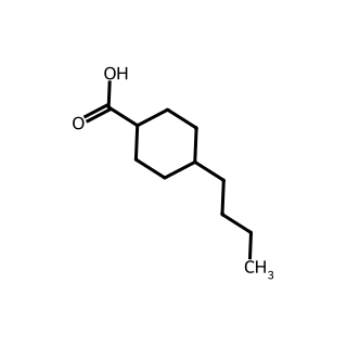 CCCCC1CCC(C(=O)O)CC1